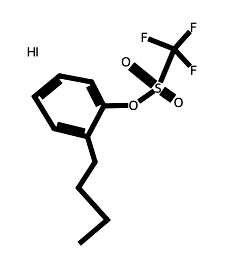 CCCCc1ccccc1OS(=O)(=O)C(F)(F)F.I